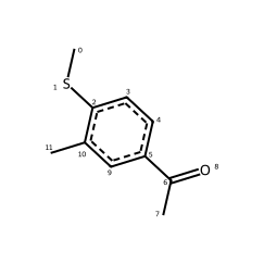 CSc1ccc(C(C)=O)cc1C